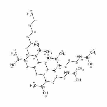 CB(O)NCCCN(CCCCN(B(C)O)C(CCCCCCN)N(CCCCN(CCCNB(C)O)B(C)O)B(C)O)B(C)O